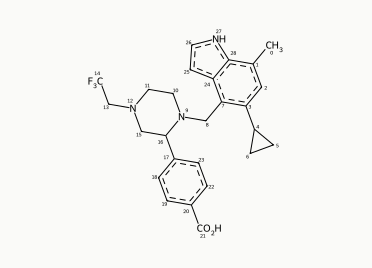 Cc1cc(C2CC2)c(CN2CCN(CC(F)(F)F)CC2c2ccc(C(=O)O)cc2)c2cc[nH]c12